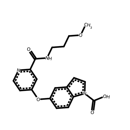 COCCCNC(=O)c1cc(Oc2ccc3c(ccn3C(=O)O)c2)ccn1